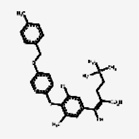 CC(=C(CC[Si](C)(C)C)C(=O)O)c1cc(C)c(Oc2ccc(OCc3ccc(C)cc3)cn2)c(Cl)c1